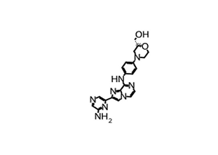 Nc1cncc(-c2cn3ccnc(Nc4ccc(N5CCO[C@@H](CO)C5)cc4)c3n2)n1